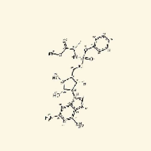 CC(C)OC(=O)[C@H](C)N[P@](=O)(OC[C@H]1[C@H](C)[C@@H](n2cnc3c(N)nc(N)nc32)[C@H](O)[C@@H]1O)Oc1ccccc1